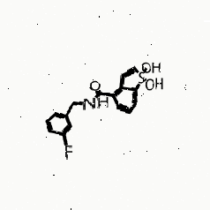 O=C(NCc1cccc(F)c1)c1cccc2c1C=CS2(O)O